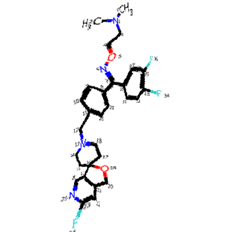 CN(C)CCO/N=C(/c1ccc(CN2CCC3(CC2)OCc2cc(F)ncc23)cc1)c1ccc(F)c(F)c1